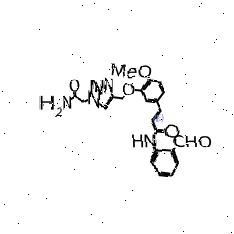 COc1ccc(/C=C/C(=O)Nc2ccccc2C=O)cc1OCc1cn(CC(N)=O)nn1